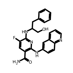 NC(=O)c1cc(F)c(NC(CO)Cc2ccccc2)nc1Nc1ccc2ncccc2c1